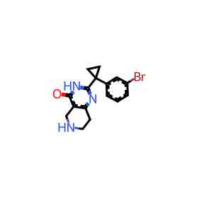 O=c1[nH]c(C2(c3cccc(Br)c3)CC2)nc2c1CNCC2